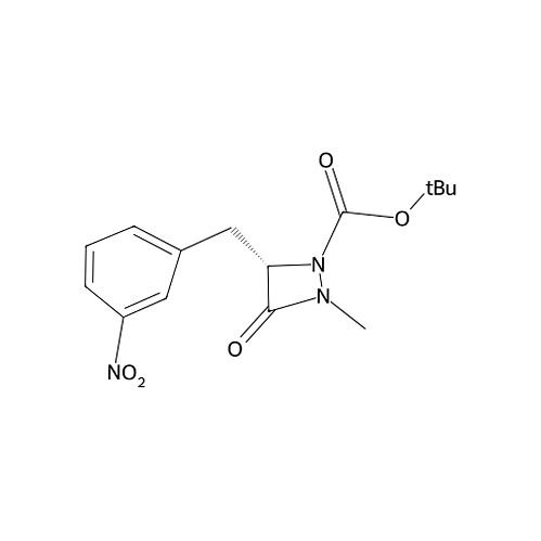 CN1C(=O)[C@H](Cc2cccc([N+](=O)[O-])c2)N1C(=O)OC(C)(C)C